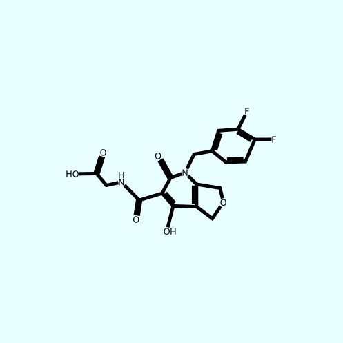 O=C(O)CNC(=O)c1c(O)c2c(n(Cc3ccc(F)c(F)c3)c1=O)COC2